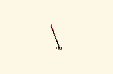 C[Si](Cl)(Cl)CCCCCCCCCCCCCCCCCCCCCCCCCCCCCCCCI